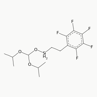 CC(C)OC(O[SiH2]CCc1c(F)c(F)c(F)c(F)c1F)OC(C)C